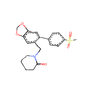 CS(=O)(=O)c1ccc(-c2cc3c(cc2CN2CCCCC2=O)OCO3)cc1